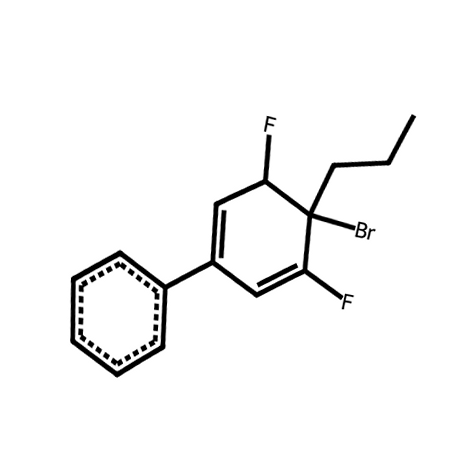 CCCC1(Br)C(F)=CC(c2ccccc2)=CC1F